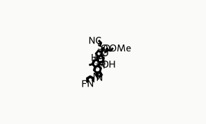 COCC(=O)O[C@]1(C(=O)SCC#N)CC[C@H]2[C@@H]3C=C(C)C4=Cc5c(cnn5-c5ccc(F)nc5)C[C@]4(C)[C@H]3[C@@H](O)C[C@@]21C